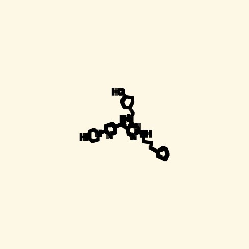 O[C@H]1CC[C@@H](Cn2nc(-c3ccc(N4CCNCC4)nc3)c3cnc(NCCCc4ccccc4)nc32)CC1